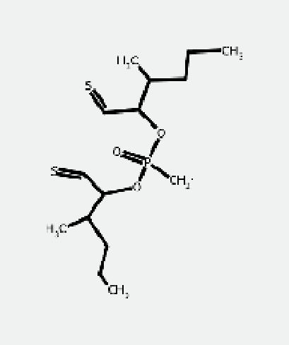 [CH2]P(=O)(OC(C=S)C(C)CCC)OC(C=S)C(C)CCC